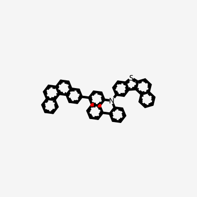 c1ccc(-c2ccccc2N(c2ccc(-c3ccc4c(ccc5ccc6ccccc6c54)c3)cc2)c2ccc3sc4ccc5ccccc5c4c3c2)cc1